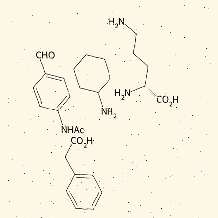 CC(=O)Nc1ccc(C=O)cc1.NC1CCCCC1.NCCC[C@@H](N)C(=O)O.O=C(O)Cc1ccccc1